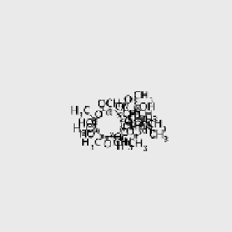 [2H]C([2H])([2H])O[C@]1(C)C[C@@H](C)C(=O)[C@H](C)[C@@H](O)[C@](C)(O)[C@@H](CC)OC(=O)[C@H](C)C(O[C@H]2C[C@@](C)(OC)[C@@H](O)[C@H](C)O2)[C@H](C)[C@H]1O[C@@H]1O[C@H](C)C[C@H](N(C)C)[C@H]1O